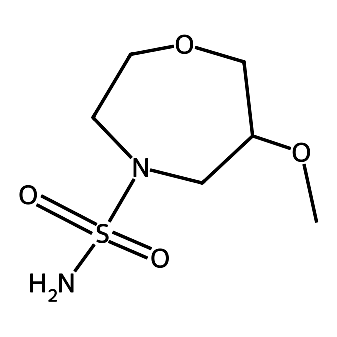 COC1COCCN(S(N)(=O)=O)C1